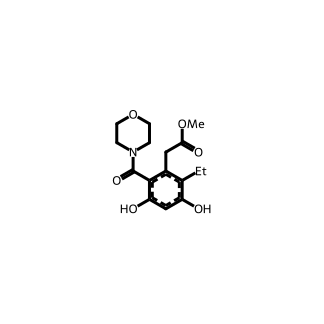 CCc1c(O)cc(O)c(C(=O)N2CCOCC2)c1CC(=O)OC